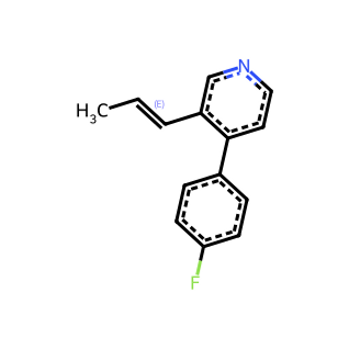 C/C=C/c1cnccc1-c1ccc(F)cc1